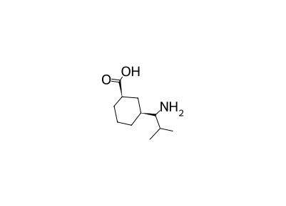 CC(C)C(N)[C@H]1CCC[C@@H](C(=O)O)C1